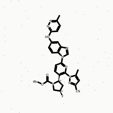 Cc1ccc(Nc2ccc3c(c2)ncn3-c2ccc([C@H]3C[C@@H](F)CN3C(=O)OC(C)(C)C)c(-n3nc(C#N)cc3C)n2)nn1